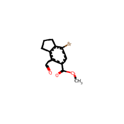 COC(=O)c1cc(Br)c2c(c1C=O)CCC2